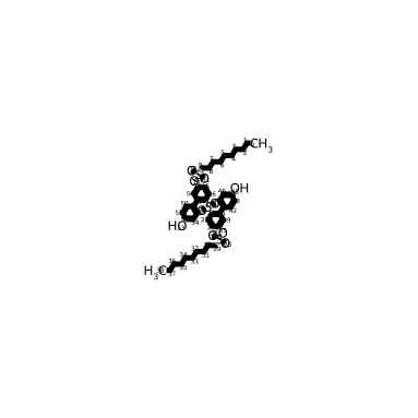 CCCCCCCCCCS(=O)(=O)Oc1ccc(S(=O)(=O)c2ccc(OS(=O)(=O)CCCCCCCCCC)cc2-c2ccc(O)cc2)c(-c2ccc(O)cc2)c1